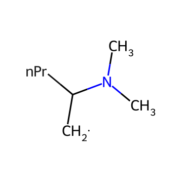 [CH2]CCC([CH2])N(C)C